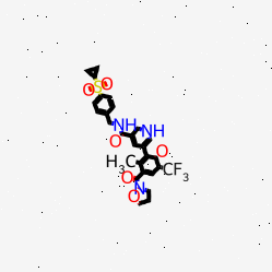 CC1=C(C2=CNCC(C(=O)NCc3ccc(S(=O)(=O)C4CC4)cc3)=C2)C(=O)C(C(F)(F)F)C=C1C(=O)N1CCCO1